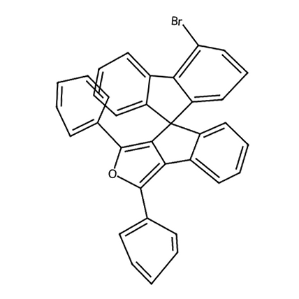 Brc1cccc2c1-c1ccccc1C21c2ccccc2-c2c(-c3ccccc3)oc(-c3ccccc3)c21